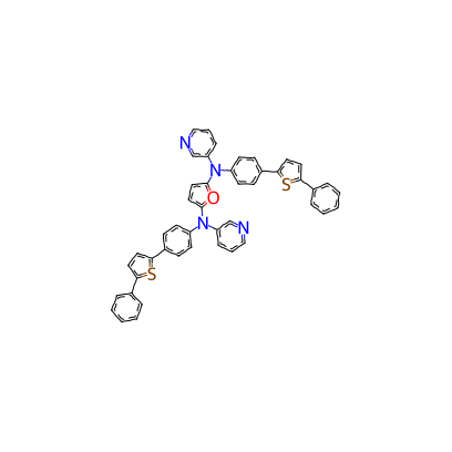 c1ccc(-c2ccc(-c3ccc(N(c4cccnc4)c4ccc(N(c5ccc(-c6ccc(-c7ccccc7)s6)cc5)c5cccnc5)o4)cc3)s2)cc1